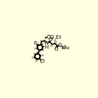 CCOC(=O)C[C@@H](Cc1ccc(-c2cccc(Cl)c2)cc1F)NC(=O)CCC(=O)OC(C)(C)C